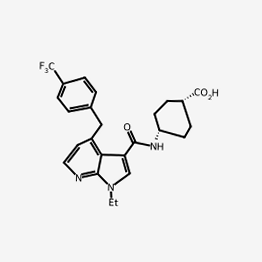 CCn1cc(C(=O)N[C@H]2CC[C@@H](C(=O)O)CC2)c2c(Cc3ccc(C(F)(F)F)cc3)ccnc21